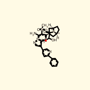 CS(=O)(=O)c1c([C@H]2C[C@H]3CC[C@@H](C2)N3C(=O)C(O)C(F)(F)F)nc2c(-c3ccc(-c4ccccc4)nc3)cnn2c1N